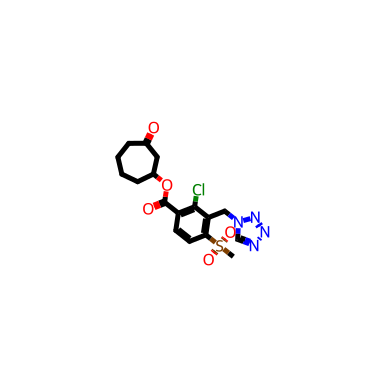 CS(=O)(=O)c1ccc(C(=O)OC2CCCCC(=O)C2)c(Cl)c1Cn1cnnn1